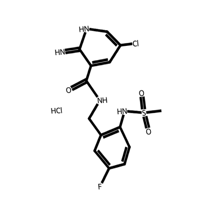 CS(=O)(=O)Nc1ccc(F)cc1CNC(=O)c1cc(Cl)c[nH]c1=N.Cl